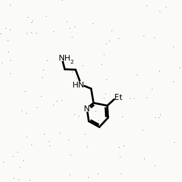 CCc1cccnc1CNCCN